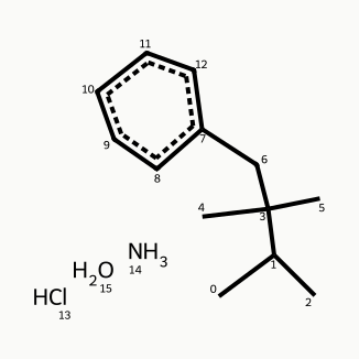 CC(C)C(C)(C)Cc1ccccc1.Cl.N.O